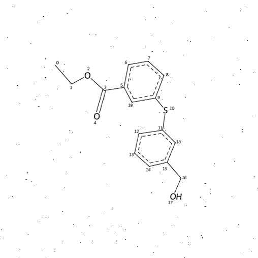 CCOC(=O)c1cccc(Sc2cccc(CO)c2)c1